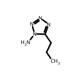 CCCc1nnnn1N